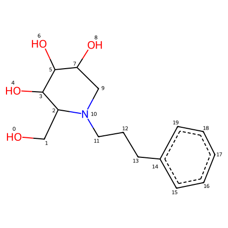 OCC1C(O)C(O)C(O)CN1CCCc1ccccc1